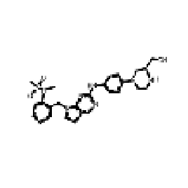 CN(c1ccccc1Cn1ccc2cnc(Nc3ccc(N4CCNC(CO)C4)cc3)nc21)S(C)(=O)=O